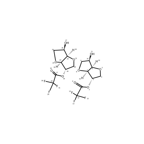 O=C(O[C@H]1CO[C@H]2[C@@H]1OC[C@H]2O)C(F)(F)F.O=C(O[C@H]1CO[C@H]2[C@@H]1OC[C@H]2O)C(F)(F)F